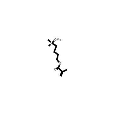 C=C(C)C(=O)OCCCC[Si](C)(C)OC